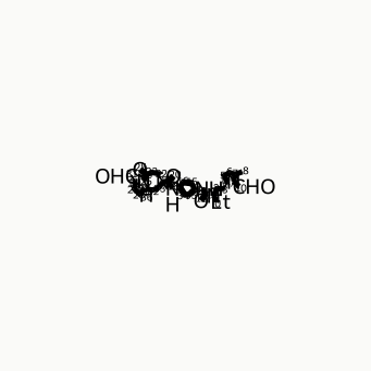 CCN(CC[C@H]1CCC(C)N1C=O)C(=O)Nc1ccc(NC(=O)N2CCC(=O)N3[C@H](CC[C@H]3C=O)CC2)cc1